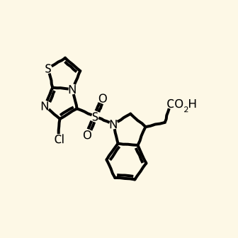 O=C(O)CC1CN(S(=O)(=O)c2c(Cl)nc3sccn23)c2ccccc21